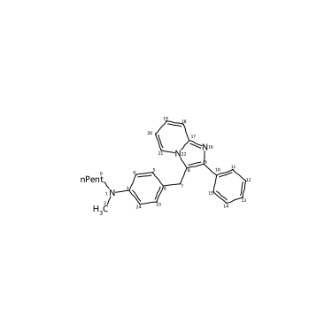 CCCCCN(C)c1ccc(Cc2c(-c3ccccc3)nc3ccccn23)cc1